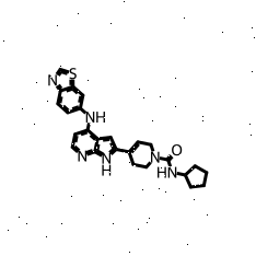 O=C(NC1CCCC1)N1CC=C(c2cc3c(Nc4ccc5ncsc5c4)ccnc3[nH]2)CC1